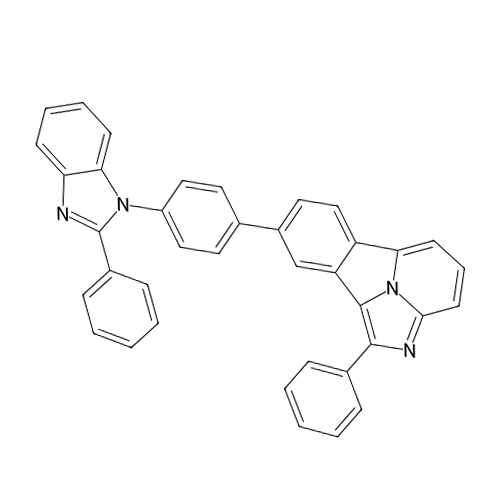 c1ccc(-c2nc3cccc4c5ccc(-c6ccc(-n7c(-c8ccccc8)nc8ccccc87)cc6)cc5c2n34)cc1